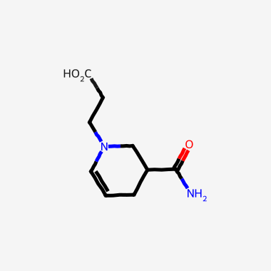 NC(=O)C1CC=CN(CCC(=O)O)C1